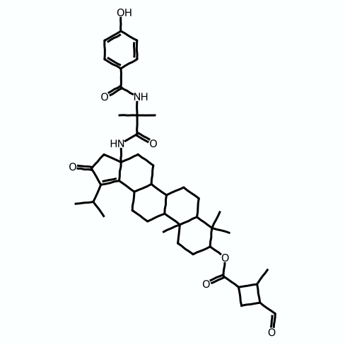 CC(C)C1=C2C3CCC4C(CCC5C(C)(C)C(OC(=O)C6CC(C=O)C6C)CCC45C)C3CCC2(NC(=O)C(C)(C)NC(=O)c2ccc(O)cc2)CC1=O